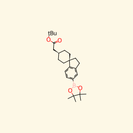 CC(C)(C)OC(=O)C[C@H]1CC[C@]2(CCc3cc(B4OC(C)(C)C(C)(C)O4)ccc32)CC1